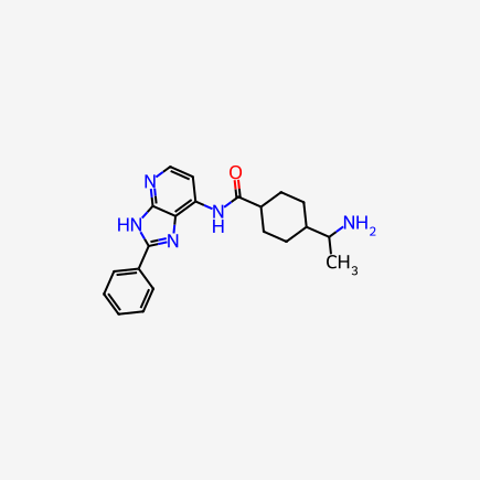 CC(N)C1CCC(C(=O)Nc2ccnc3[nH]c(-c4ccccc4)nc23)CC1